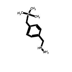 C[N+](C)(C)Cc1ccc(CNN)cc1